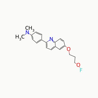 CN(C)c1ccc(-c2ccc3cc(OCCCOF)ccc3n2)cc1